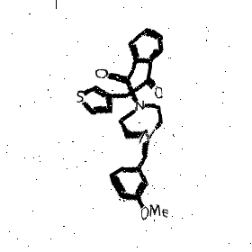 COc1cccc(CN2CCN(C3(c4ccsc4)C(=O)c4ccccc4C3=O)CC2)c1